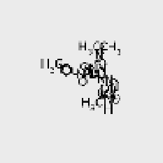 CC(=O)NS(=O)(=O)CN1CCN(c2cnc3c(cc(C(=O)NCc4ccc(C)cc4)c(=O)n3CC(=O)N3CC(C)(C)C3)n2)C1=O